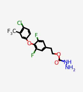 NNC(=O)OCCc1cc(F)c(Oc2ccc(Cl)c(C(F)(F)F)c2)c(F)c1